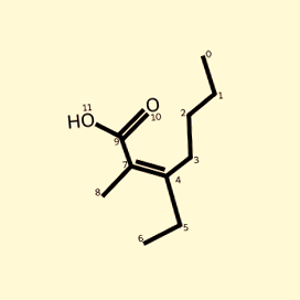 CCCCC(CC)=C(C)C(=O)O